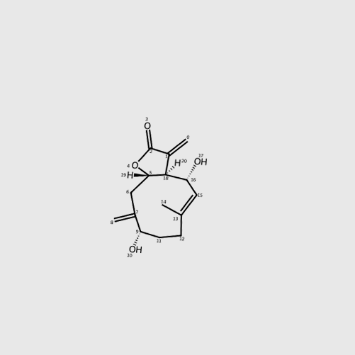 C=C1C(=O)O[C@H]2CC(=C)[C@@H](O)CC/C(C)=C/[C@@H](O)[C@H]12